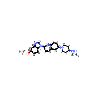 CNC1CCN(c2ccc3nc(-n4cnc5cc(OC)ccc54)ccc3c2)CC1